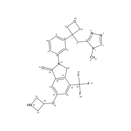 Cn1cnnc1CC1(c2cccc(N3Cc4c(cc(OC5CNC5)cc4C(F)(F)F)C3=O)c2)COC1